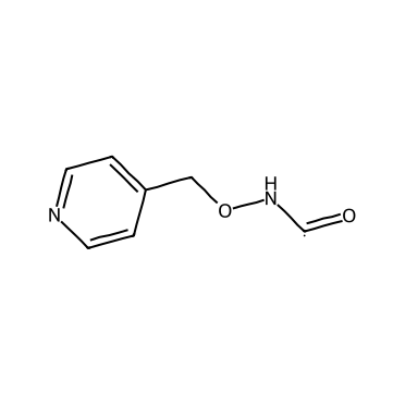 O=[C]NOCc1ccncc1